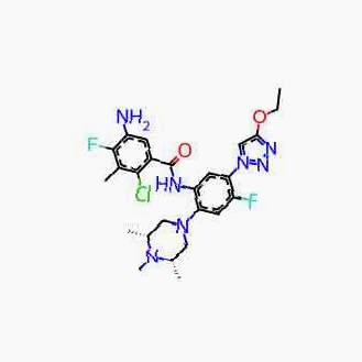 CCOc1cn(-c2cc(NC(=O)c3cc(N)c(F)c(C)c3Cl)c(N3C[C@@H](C)N(C)[C@@H](C)C3)cc2F)nn1